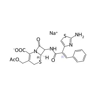 CC(=O)OCC1=C(C(=O)[O-])N2C(=O)C(NC(=O)/C(=C/c3ccccc3)c3csc(N)n3)[C@H]2SC1.[Na+]